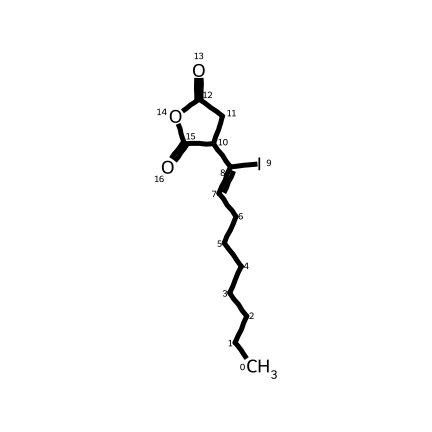 CCCCCCCC=C(I)C1CC(=O)OC1=O